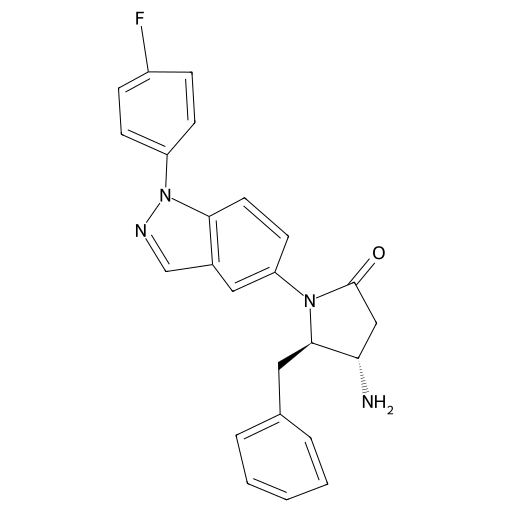 N[C@H]1CC(=O)N(c2ccc3c(cnn3-c3ccc(F)cc3)c2)[C@@H]1Cc1ccccc1